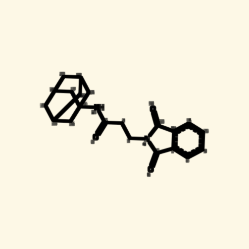 O=C(CCN1C(=O)c2ccccc2C1=O)NC12CC3CC(CC(C3)C1)C2